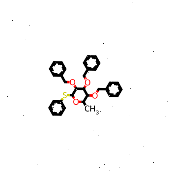 CC1OC(Sc2ccccc2)C(OCc2ccccc2)C(OCc2ccccc2)C1OCc1ccccc1